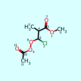 COC(=O)C(C)C(Cl)OOC(C)=O